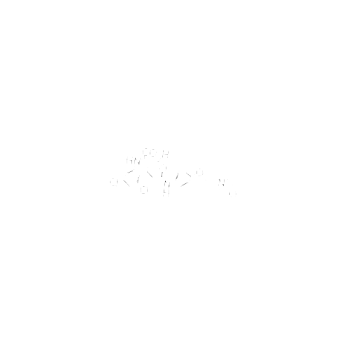 O=C(/C=C1\CC(C(=O)O)Nc2cc(Cl)cc(Cl)c21)Nc1ccc(OCCN2CCOCC2)cc1